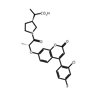 CC(C(=O)O)[C@@H]1CCN(C(=O)[C@@H](C)Oc2ccc3c(-c4ccc(F)cc4Cl)cc(=O)oc3c2)C1